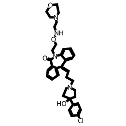 O=C1c2ccccc2C(=CCCN2CCC(O)(c3ccc(Cl)cc3)CC2)c2ccccc2N1CCONCCN1CCOCC1